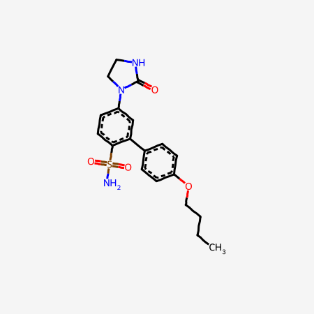 CCCCOc1ccc(-c2cc(N3CCNC3=O)ccc2S(N)(=O)=O)cc1